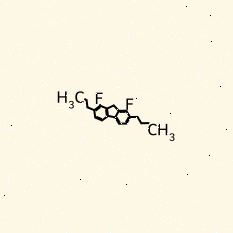 CCCCc1ccc2c(c1F)Cc1c-2ccc(CCC)c1F